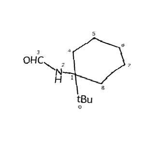 CC(C)(C)C1(NC=O)CCCCC1